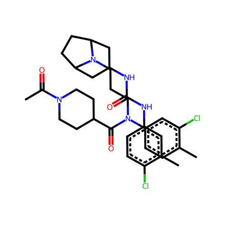 CC(=O)N1CCC(C(=O)N(CCCN2C3CCC2CC(NC(=O)Nc2ccc(Cl)c(C)c2)C3)c2ccc(C)c(Cl)c2)CC1